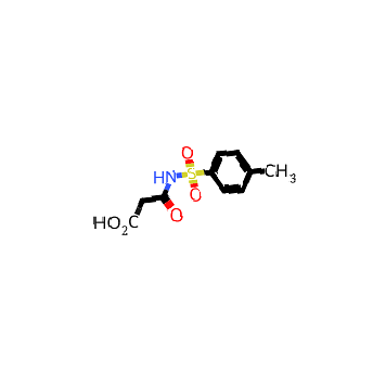 Cc1ccc(S(=O)(=O)NC(=O)CC(=O)O)cc1